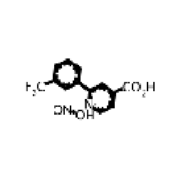 O=C(O)c1ccnc(-c2cccc(C(F)(F)F)c2)c1.O=NO